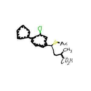 CC(=O)SC(CC(C)C(=O)O)c1ccc(-c2ccccc2)c(Cl)c1